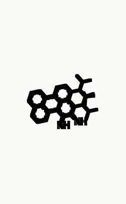 CC(C)C(c1ccc2c3cccc4cccc(c5c(=N)c(=N)c(C(C(C)C)C(C)C)c1c25)c43)C(C)C